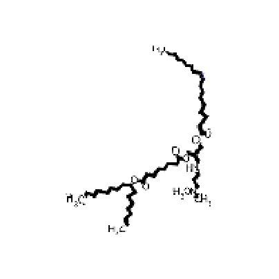 CCCCCCCC/C=C\CCCCCCCC(=O)OCC(CNCCCN(C)C)COC(=O)CCCCCCC(=O)OC(CCCCCCCC)CCCCCCCC